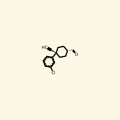 C#C[C@]1(c2cccc(Cl)c2)CC[C@@H](C=O)CC1